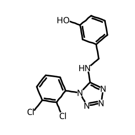 Oc1cccc(CNc2nnnn2-c2cccc(Cl)c2Cl)c1